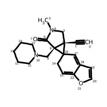 C#C[C@]12CN(C)C(=O)[C@@]1(CN1CCCCC1)C21C=c2ccoc2=CC1